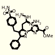 COC(=O)c1csc(-n2nc(-c3ccccc3)c(Cc3ccc(S(N)(=O)=O)cc3)c2C/C(=N/N)NN)n1